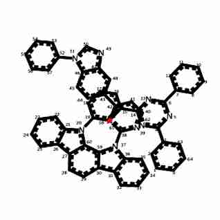 c1ccc(-c2nc(-c3ccccc3)nc(-c3cccc(-n4c5ccccc5c5ccc6c7ccccc7n(-c7nccc(-c8ccc9c(c8)ncn9-c8ccccc8)n7)c6c54)c3)n2)cc1